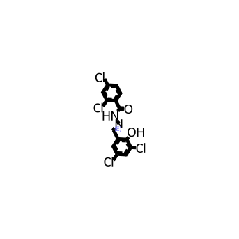 O=C(N/N=C/c1cc(Cl)cc(Cl)c1O)c1ccc(Cl)cc1Cl